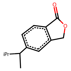 CC(C)C(C)c1ccc2c(c1)COC2=O